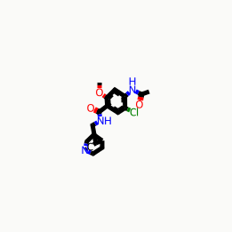 COc1cc(NC(C)=O)c(Cl)cc1C(=O)NCC1CN2CCC1CC2